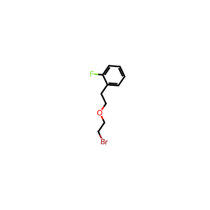 Fc1ccccc1CCOCCBr